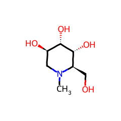 CN1C[C@@H](O)[C@H](O)[C@H](O)[C@H]1CO